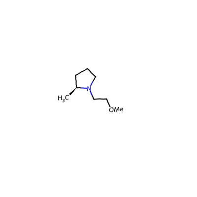 COCCN1CCC[C@@H]1C